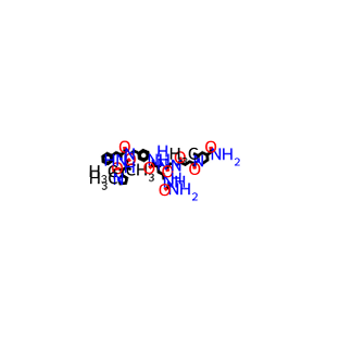 COC(C(C)C(=O)NC(Cc1ccccc1)C(=O)NCc1ccc(NC(=O)C(CCCNC(N)=O)NC(=O)CNC(=O)CCC(=O)N2CCC(C(N)=O)CC2C)cc1)C1CCCN1C